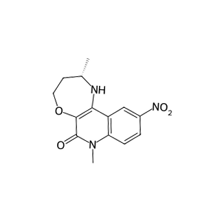 C[C@H]1CCOc2c(c3cc([N+](=O)[O-])ccc3n(C)c2=O)N1